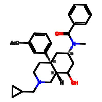 CC(=O)Oc1cccc([C@@]23CCN(CC4CC4)C[C@H]2C(O)C[C@@H](N(C)C(=O)c2ccccc2)C3)c1